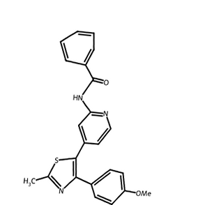 COc1ccc(-c2nc(C)sc2-c2ccnc(NC(=O)c3ccccc3)c2)cc1